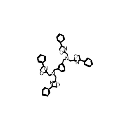 c1ccc(C2COC(CN(CC3=NC(c4ccccc4)CO3)Cc3cccc(CN(CC4=NC(c5ccccc5)CO4)CC4=NC(c5ccccc5)CO4)c3)=N2)cc1